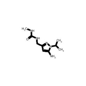 CNC(=O)NCc1cc(N)n(C(C)C)n1